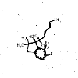 C/C=C/CCC(C)(CC)C1(O)c2c(ccc(F)c2Br)CC1(C)C